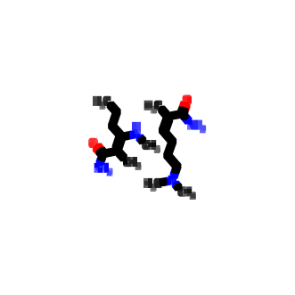 CC(=CCCCN(C)C)C(N)=O.CCCC(NC)=C(C)C(N)=O